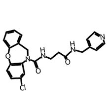 O=C(CCNC(=O)N1Cc2ccccc2Oc2ccc(Cl)cc21)NCc1ccncc1